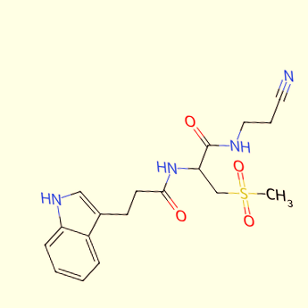 CS(=O)(=O)CC(NC(=O)CCc1c[nH]c2ccccc12)C(=O)NCCC#N